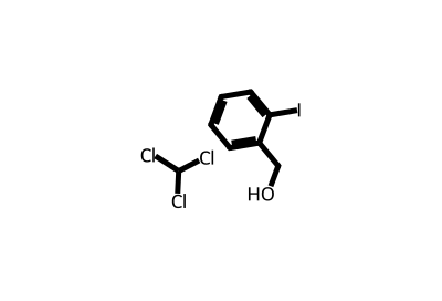 ClC(Cl)Cl.OCc1ccccc1I